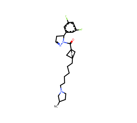 N#CC1CCN(CCCCCCC23CC(C(=O)N4N=CCC4c4cc(F)cc(F)c4)(C2)C3)C1